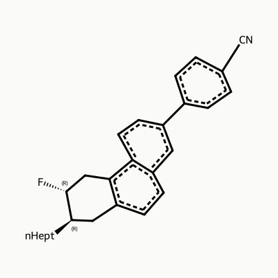 CCCCCCC[C@@H]1Cc2ccc3cc(-c4ccc(C#N)cc4)ccc3c2C[C@H]1F